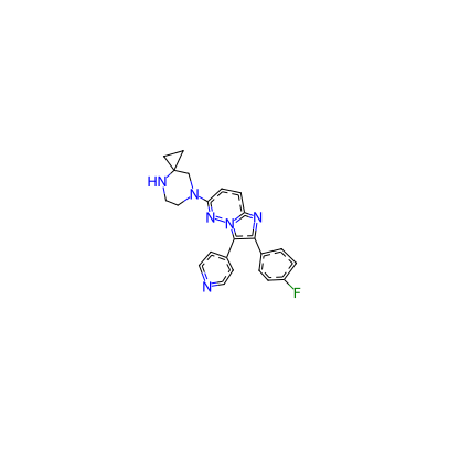 Fc1ccc(-c2nc3ccc(N4CCNC5(CC5)C4)nn3c2-c2ccncc2)cc1